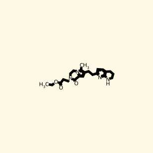 CCOC(=O)CCN1CCn2c(cc(CCc3ccc4c(n3)NCCC4)c2C)C1=O